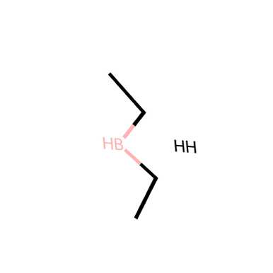 CCBCC.[HH]